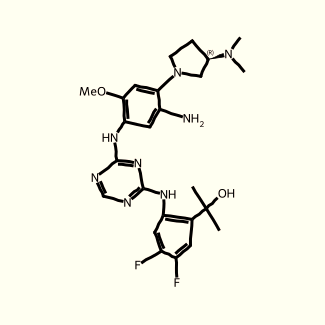 COc1cc(N2CC[C@@H](N(C)C)C2)c(N)cc1Nc1ncnc(Nc2cc(F)c(F)cc2C(C)(C)O)n1